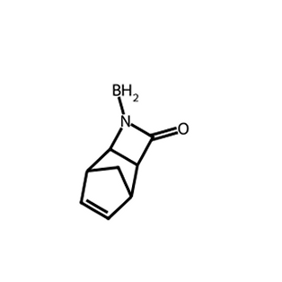 BN1C(=O)C2C3C=CC(C3)C21